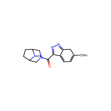 COC1=CC=C2C(=NN=C2C(=O)N2CC3CCC(C2)N3C)C1